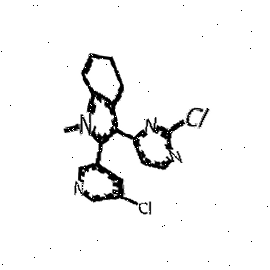 Cn1c2c(c(-c3ccnc(Cl)n3)c1-c1cncc(Cl)c1)CCC=C2